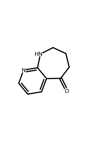 O=C1CCCNc2ncccc21